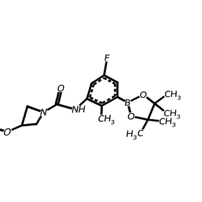 Cc1c(NC(=O)N2CC(OC(C)C)C2)cc(F)cc1B1OC(C)(C)C(C)(C)O1